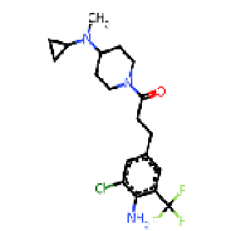 CN(C1CC1)C1CCN(C(=O)CCc2cc(Cl)c(N)c(C(F)(F)F)c2)CC1